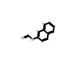 O=[C]Sc1ccc2ccccc2c1